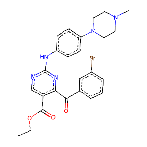 CCOC(=O)c1cnc(Nc2ccc(N3CCN(C)CC3)cc2)nc1C(=O)c1cccc(Br)c1